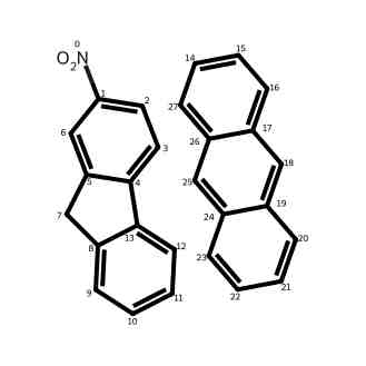 O=[N+]([O-])c1ccc2c(c1)Cc1ccccc1-2.c1ccc2cc3ccccc3cc2c1